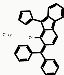 [Cl-].[Cl-].[Zr+2][c]1c2c(ccc1=C(c1ccccc1)c1ccccc1)=c1ccccc1=C2C1=CC=CC1